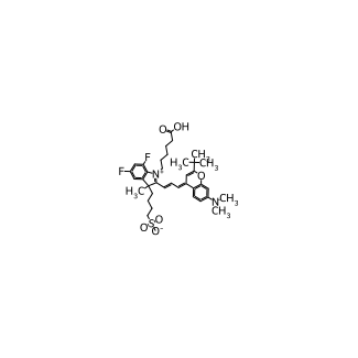 CN(C)c1ccc2c(c1)OC(C(C)(C)C)=C/C2=C\C=C\C1=[N+](CCCCCC(=O)O)c2c(F)cc(F)cc2C1(C)CCCCS(=O)(=O)[O-]